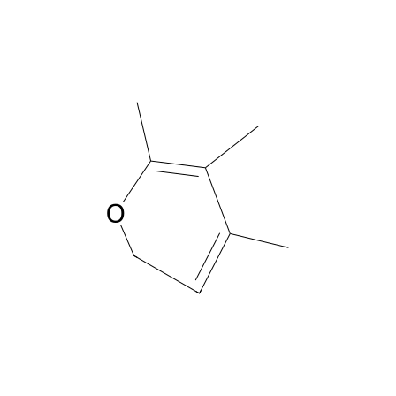 CC1=CCOC(C)=C1C